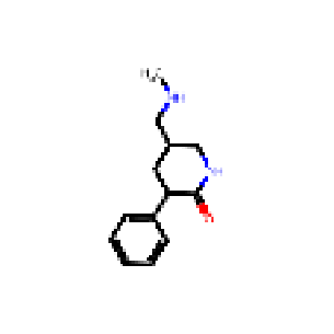 CNCC1CNC(=O)C(c2ccccc2)C1